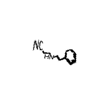 N#CCCNCCc1ccccc1